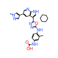 C1CCCCC1.Cc1cc(NC(=O)O)ccc1Nc1nnc(-c2c[nH]c3ncc(-c4cnn(C)c4)cc23)o1